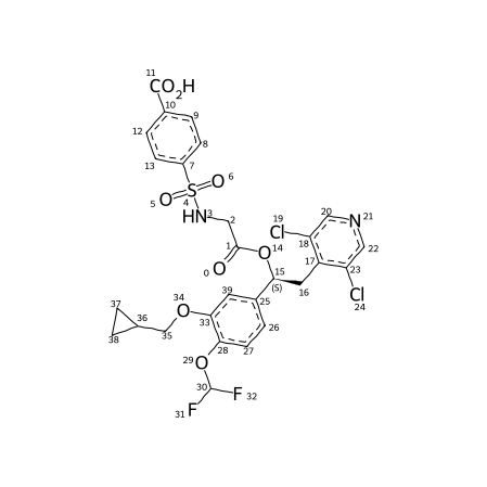 O=C(CNS(=O)(=O)c1ccc(C(=O)O)cc1)O[C@@H](Cc1c(Cl)cncc1Cl)c1ccc(OC(F)F)c(OCC2CC2)c1